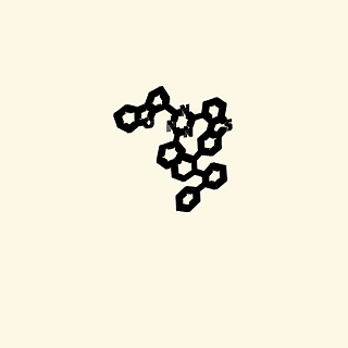 C1=CCC(c2ccccc2-c2ccccc2)C(c2ccc3sc4cccc(-c5nc(-c6ccccc6)nc(-c6cccc7c6oc6ccccc67)n5)c4c3c2)=C1